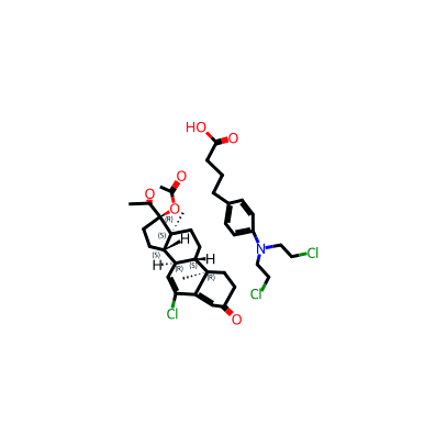 CC(=O)O[C@]1(C(C)=O)CC[C@H]2[C@@H]3C=C(Cl)C4=CC(=O)CC[C@]4(C)[C@H]3CC[C@@]21C.O=C(O)CCCc1ccc(N(CCCl)CCCl)cc1